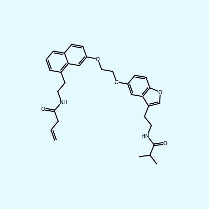 C=CCC(=O)NCCc1cccc2ccc(OCCOc3ccc4occ(CCNC(=O)C(C)C)c4c3)cc12